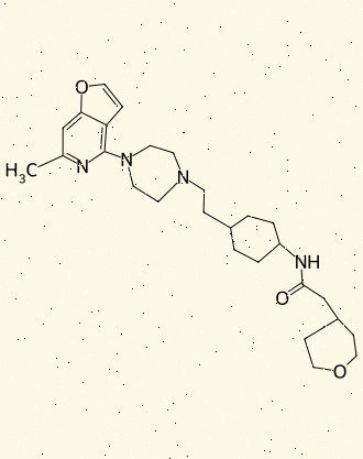 Cc1cc2occc2c(N2CCN(CCC3CCC(NC(=O)CC4CCOCC4)CC3)CC2)n1